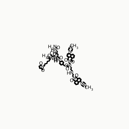 CC(C)[C@H](NC(=O)CCCCCN1C(=O)C=CC1=O)C(=O)N[C@@H](CCCNC(N)=O)C(=O)Nc1ccc(COC(=O)N(CCCNCCN2C(=O)c3cccc4c(N5CCN(C)CC5)ccc(c34)C2=O)CCN2C(=O)c3cccc4c(N5CCN(C)CC5)ccc(c34)C2=O)cc1